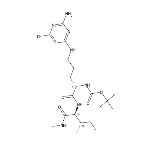 CC[C@H](C)[C@H](NC(=O)[C@H](CCCNc1cc(Cl)nc(N)n1)NC(=O)OC(C)(C)C)C(=O)NC